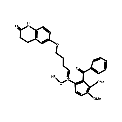 COc1ccc([N+](=CCCCOc2ccc3c(c2)CCC(=O)N3)OS)c(C(=O)c2ccccc2)c1OC